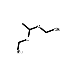 C[C](OCC(C)(C)C)OCC(C)(C)C